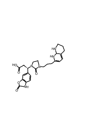 O=C(O)C[C@H](c1ccc2[nH]c(=O)oc2c1)N1CCN(CCCC2=CC=C3CCCNC3N2)C1=O